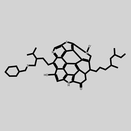 CCC(C)CC(C)CCCC1C2=c3c4c(sc5cnc6c(CCC(CSCC7CCCCC7)C(C)C)c7c(O)cc8[nH]c9c%10c(c3c(c6c54)c7c8%10)C1CC9=O)[S+]([O-])C2